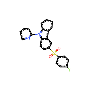 O=S(=O)(c1ccc(F)cc1)c1ccc2c(c1)c1ccccc1n2-c1ccccn1